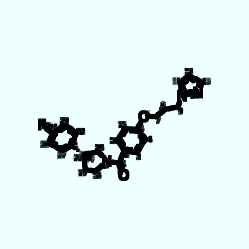 O=C(c1ccc(OC[CH]Cn2cccn2)cc1)N1CC[C@H](c2ccc(F)cc2)C1